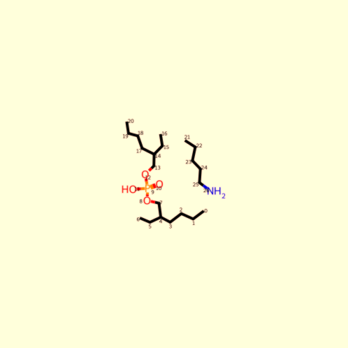 CCCCC(CC)COP(=O)(O)OCC(CC)CCCC.CCCCCN